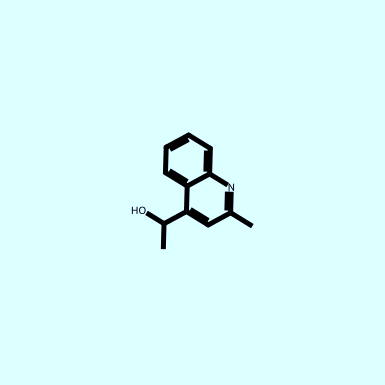 C[C](O)c1cc(C)nc2ccccc12